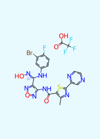 Cc1nc(-c2cnccn2)sc1C(=O)Nc1nonc1/C(=N\O)Nc1ccc(F)c(Br)c1.O=C(O)C(F)(F)F